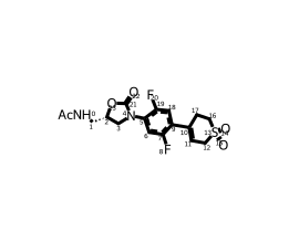 CC(=O)NC[C@H]1CN(c2cc(F)c(C3=CCS(=O)(=O)CC3)cc2F)C(=O)O1